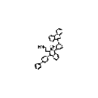 C=c1c(-c2cccc(-c3cc4ccccc4c4ccccc34)c2)c2ccccc2c(-c2ccc(-c3ccccc3)cc2)/c1=C/C=N